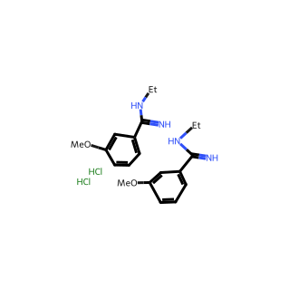 CCNC(=N)c1cccc(OC)c1.CCNC(=N)c1cccc(OC)c1.Cl.Cl